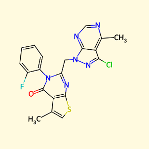 Cc1ncnc2c1c(Cl)nn2Cc1nc2scc(C)c2c(=O)n1-c1ccccc1F